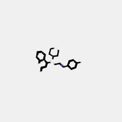 O=c1cc(N(C/C=C/c2ccc(Cl)cc2)C2CCNCC2)c2ccccc2o1